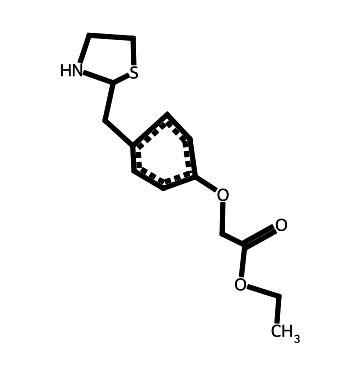 CCOC(=O)COc1ccc(CC2NCCS2)cc1